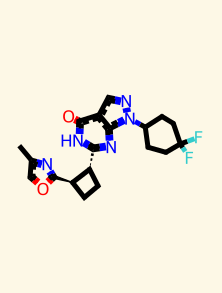 Cc1coc([C@@H]2CC[C@H]2c2nc3c(cnn3C3CCC(F)(F)CC3)c(=O)[nH]2)n1